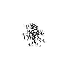 C=CC(=O)O[C@H]1[C@H]2C(C)(C)CC[C@H](O[Si](C)(C)C(C)(C)C)[C@]2(C)[C@@]2(O)C(=O)C[C@](C)(C=C)O[C@]2(C)[C@H]1OC(=O)N(CC)CC